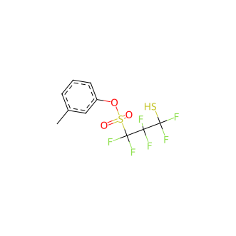 Cc1cccc(OS(=O)(=O)C(F)(F)C(F)(F)C(F)(F)S)c1